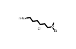 CCCCCCCCCCCC[S+](C)CC.[Cl-]